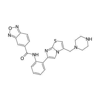 O=C(Nc1ccccc1-c1cn2c(CN3CCNCC3)csc2n1)c1ccc2nonc2c1